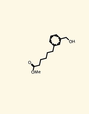 COC(=O)CCCCCc1cccc(CO)c1